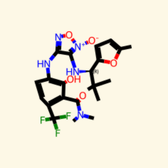 Cc1ccc([C@H](Nc2c(Nc3ccc(C(F)(F)F)c(C(=O)N(C)C)c3O)no[n+]2[O-])C(C)(C)C)o1